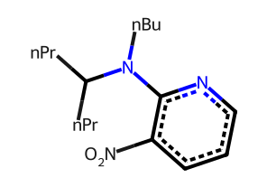 CCCCN(c1ncccc1[N+](=O)[O-])C(CCC)CCC